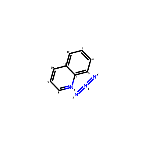 [N-]=[N+]=[N-].c1ccc2ncccc2c1